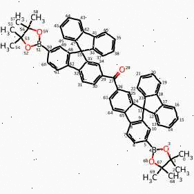 CC1(C)OB(c2ccc3c(c2)C2(c4ccccc4-c4ccccc42)c2cc(C(=O)c4ccc5c(c4)C4(c6ccccc6-c6ccccc64)c4cc(B6OC(C)(C)C(C)(C)O6)ccc4-5)ccc2-3)OC1(C)C